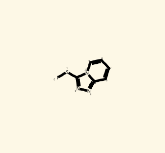 ISc1nnc2ccccn12